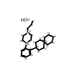 CCCN1CCN(c2ccccc2C2CCC3(CCCCC3)CC2)CC1.Cl